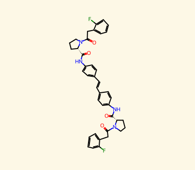 O=C(Nc1ccc(/C=C/c2ccc(NC(=O)[C@@H]3CCCN3C(=O)Cc3ccccc3F)cc2)cc1)[C@@H]1CCCN1C(=O)Cc1ccccc1F